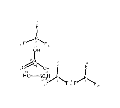 FP(F)F.FP(F)F.FP(F)F.O=S(=O)(O)O.O=[PH](O)O